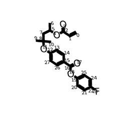 C=CC(=O)OC(C)CC(C)(C)Oc1ccc(C(=O)Oc2ccc(F)cc2)cc1